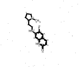 CN1CCCC1CCNc1cc2[nH]c(=O)ccc2cc1F